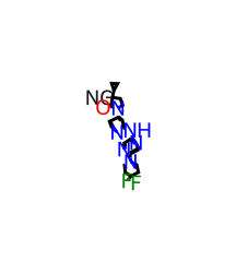 N#C[C@@]1(C2CC2)CCN(c2ccnc(Nc3cnc(N4CCC(F)(F)CC4)cn3)c2)C1=O